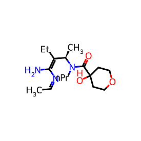 C/C=N\C(N)=C(CC)[C@@H](C)N(CCC)C(=O)C1(O)CCOCC1